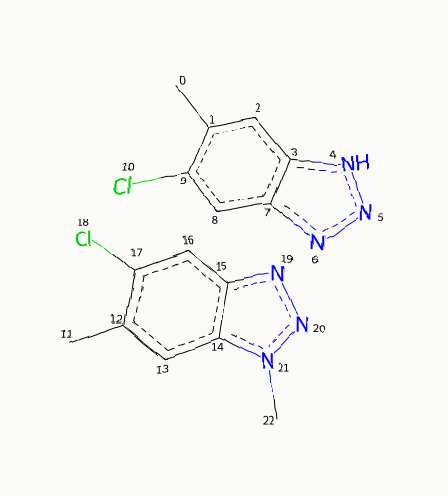 Cc1cc2[nH]nnc2cc1Cl.Cc1cc2c(cc1Cl)nnn2C